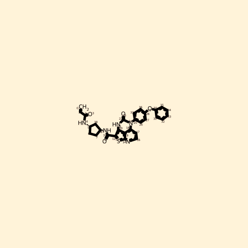 C=CC(=O)N[C@H]1CC[C@@H](NC(=O)c2sc3nccc4c3c2NC(=O)N4c2ccc(Oc3ccccc3)cc2)C1